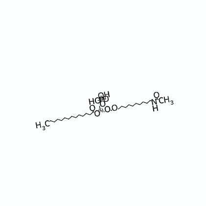 CCCCCCCCCCCCCC(=O)O[C@@H](COCOCCCCCCCCCCNC(C)=O)COP(=O)(O)O